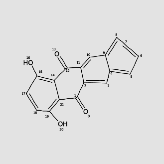 O=C1c2cc3ccccc3cc2C(=O)c2c(O)ccc(O)c21